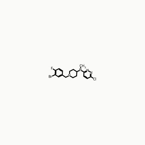 CN(c1ccc(Cl)nn1)C1CCN(Cc2ccc(F)c(Br)c2)CC1